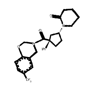 CC(C)[C@]1(C(=O)N2COc3ccc(C(F)(F)F)cc3C2)CC[C@@H](N2CCCCC2=O)C1